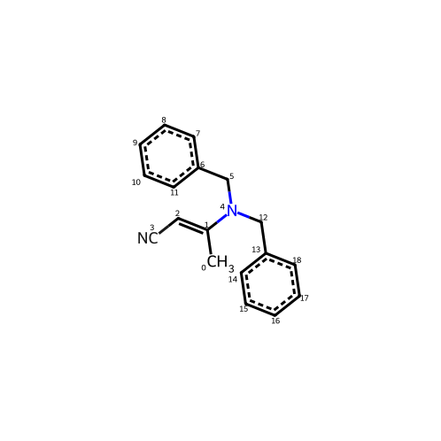 CC(=CC#N)N(Cc1ccccc1)Cc1ccccc1